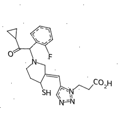 O=C(O)CCn1nncc1/C=C1/CN(C(C(=O)C2CC2)c2ccccc2F)CCC1S